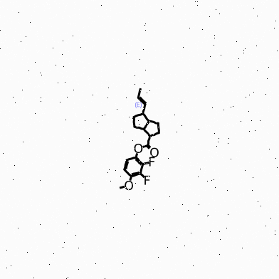 C/C=C/C1CCC2C(C(=O)Oc3ccc(OC)c(F)c3F)CCC12